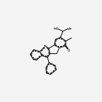 CCCC(O)c1cc2n(c(=O)c1C)Cc1c-2nc2ccccc2c1-c1ccccc1